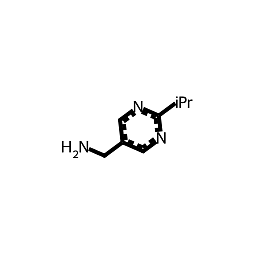 CC(C)c1ncc(CN)cn1